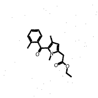 CCOC(=O)Cc1cc(C)c(C(=O)c2ccccc2C)n1C